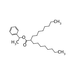 CCCCCCCCC(CCCCCCCC)C(=O)OC(C)c1ccccc1